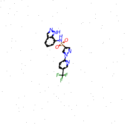 O=S(=O)(Nc1cccc2cn[nH]c12)c1cnn(-c2ccc(C(F)(F)F)cn2)c1